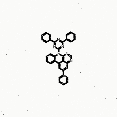 c1ccc(-c2cc3c4c(ncnc4c2)N(c2nc(-c4ccccc4)nc(-c4ccccc4)n2)c2ccccc2-3)cc1